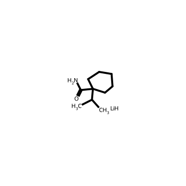 CC(C)C1(C(N)=O)CCCCC1.[LiH]